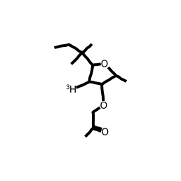 [3H]C1C(OCC(C)=O)C(C)OC1C(C)(C)CC